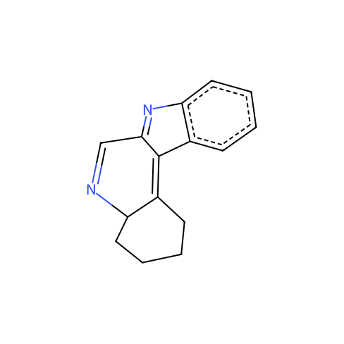 C1=NC2CCCCC2=C2C1=Nc1ccccc12